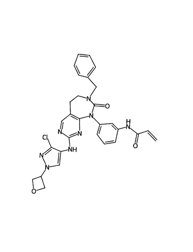 C=CC(=O)Nc1cccc(N2C(=O)N(Cc3ccccc3)CCc3cnc(Nc4cn(C5COC5)nc4Cl)nc32)c1